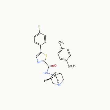 Cc1ccc(S(=O)(=O)O)cc1.O=C(N[C@H]1CN2CCC1CC2)c1ncc(-c2ccc(F)cc2)s1